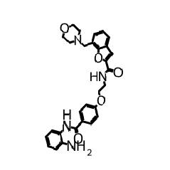 Nc1ccccc1NC(=O)c1ccc(OCCNC(=O)c2cc3cccc(CN4CCOCC4)c3o2)cc1